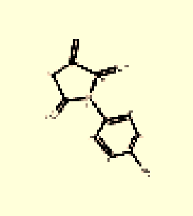 C=C1CC(=O)N(c2ccc(C(C)=O)cc2)C1=O